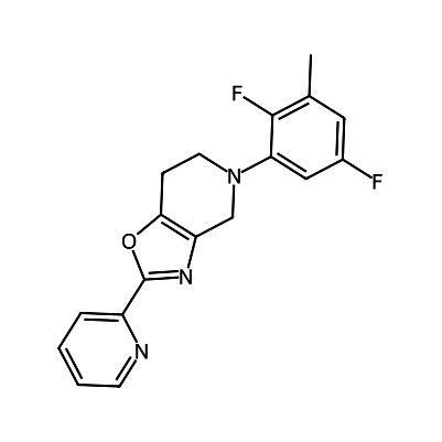 Cc1cc(F)cc(N2CCc3oc(-c4ccccn4)nc3C2)c1F